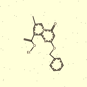 C=C(OCC)c1cc(C)cn2c(=O)cc(OCc3ccccc3)nc12